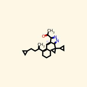 C=C(CCC1CC1)C1=C(/C=C2/C(C(C)=O)=NN=C2C2(C3CC3)CC2)CCCC1